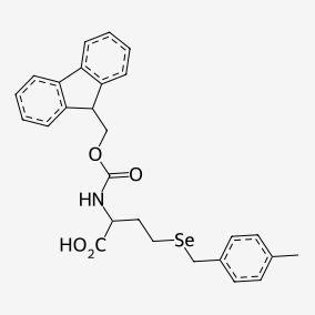 Cc1ccc(C[Se]CCC(NC(=O)OCC2c3ccccc3-c3ccccc32)C(=O)O)cc1